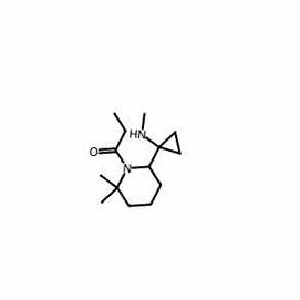 CCC(=O)N1C(C2(NC)CC2)CCCC1(C)C